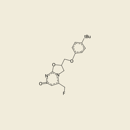 CC(C)(C)c1ccc(OCC2Cn3c(CF)cc(=O)nc3O2)cc1